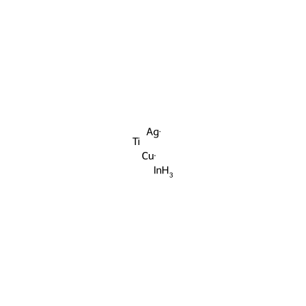 [Ag].[Cu].[InH3].[Ti]